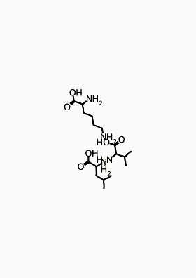 CC(C)C(N)C(=O)O.CC(C)CC(N)C(=O)O.NCCCCC(N)C(=O)O